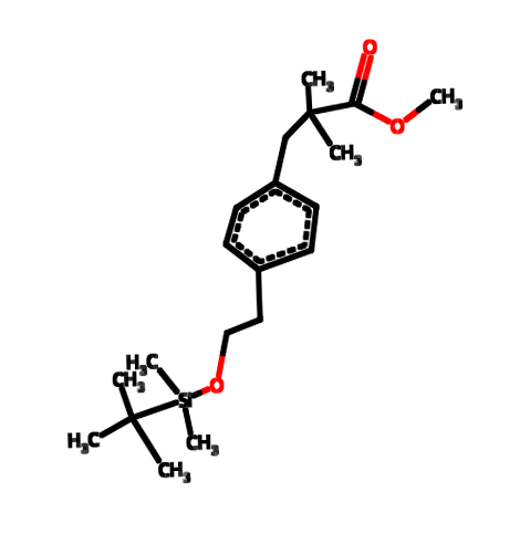 COC(=O)C(C)(C)Cc1ccc(CCO[Si](C)(C)C(C)(C)C)cc1